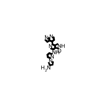 Cn1ccc2c(-c3ncc(Nc4cccc(N5CC[C@H](N)C5)n4)c4c3CNC4=O)ccnc21